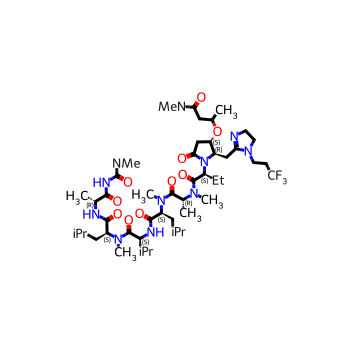 CC[C@@H](C(=O)N(C)[C@H](C)C(=O)N(C)[C@@H](CC(C)C)C(=O)N[C@H](C(=O)N(C)[C@@H](CC(C)C)C(=O)N[C@H](C)C(=O)NC(=O)NC)C(C)C)N1C(=O)C[C@H](OC(C)CC(=O)NC)[C@H]1CC1=NCCN1CCC(F)(F)F